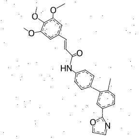 COc1cc(/C=C/C(=O)Nc2ccc(-c3cc(-c4ncco4)ccc3C)cc2)cc(OC)c1OC